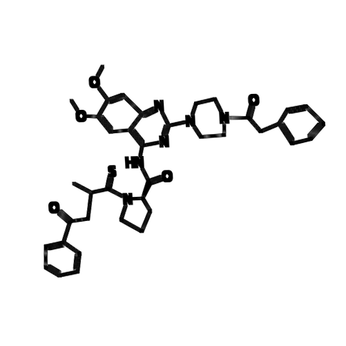 COc1cc2nc(N3CCN(C(=O)Cc4ccccc4)CC3)nc(NC(=O)[C@H]3CCCN3C(=S)C(C)CC(=O)c3ccccc3)c2cc1OC